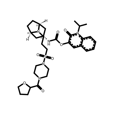 CC(C)n1c(=O)c(OC(=O)N[C@@H]2C[C@H]3CC[C@@H](C2)N3CCCS(=O)(=O)N2CCN(C(=O)C3CCCO3)CC2)cc2ccccc21